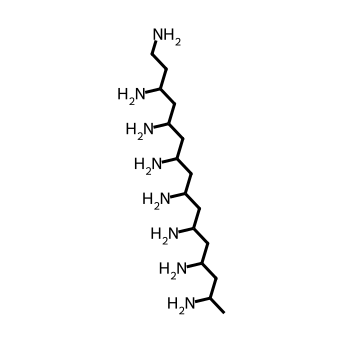 CC(N)CC(N)CC(N)CC(N)CC(N)CC(N)CC(N)CCN